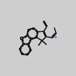 C=CC1=C(/C=C\C)C(C)(C)c2c1ccc1oc3ccccc3c21